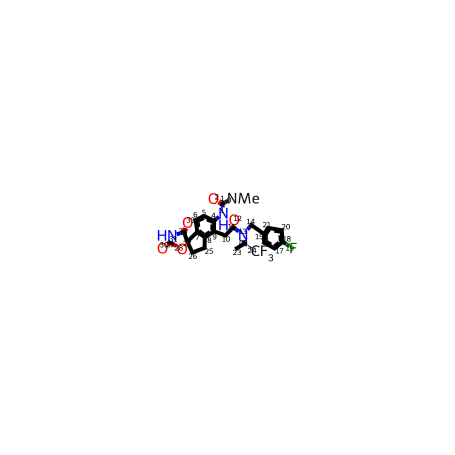 CNC(=O)Nc1ccc2c(c1CC(=O)N(Cc1ccc(F)cc1)[C@@H](C)C(F)(F)F)CCC21OC(=O)NC1=O